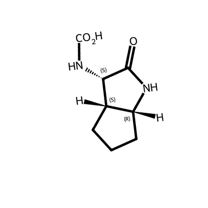 O=C(O)N[C@@H]1C(=O)N[C@@H]2CCC[C@H]12